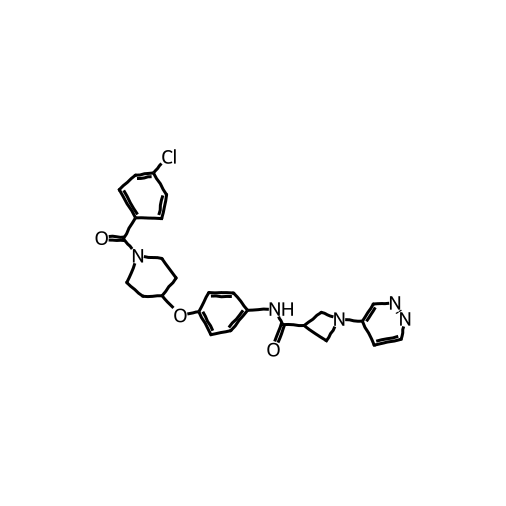 O=C(Nc1ccc(OC2CCN(C(=O)c3ccc(Cl)cc3)CC2)cc1)C1CN(c2ccnnc2)C1